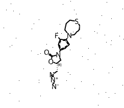 [N-]=[N+]=NC[C@H]1CN(c2ccc(N3CCCSCCC3)c(F)c2)C(=O)O1